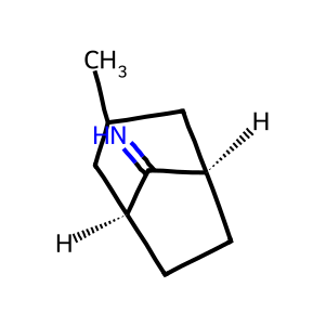 CC1C[C@H]2CC[C@@H](C1)C2=N